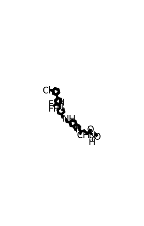 CC(CCC(=O)NC=O)N1Cc2ccc(CNCC3CCN(c4ncc(-c5cccc(Cl)c5)cc4C(F)(F)F)CC3)cc2C1